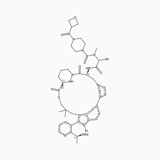 CCn1c(-c2cccnc2[C@H](C)OC)c2c3cc(ccc31)-c1csc(n1)C[C@H](NC(=O)C(C(C)C)N(C)C(=O)N1CCN(C(=O)C3COC3)CC1)C(=O)N1CCC[C@H](N1)C(=O)OCC(C)(C)C2